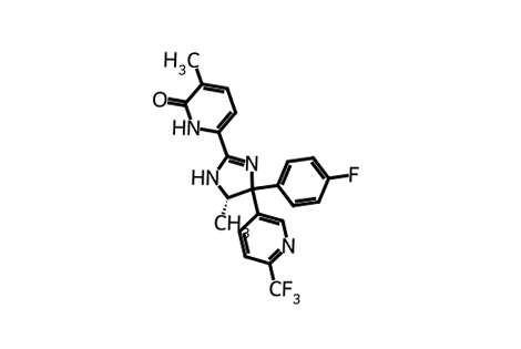 Cc1ccc(C2=NC(c3ccc(F)cc3)(c3ccc(C(F)(F)F)nc3)[C@H](C)N2)[nH]c1=O